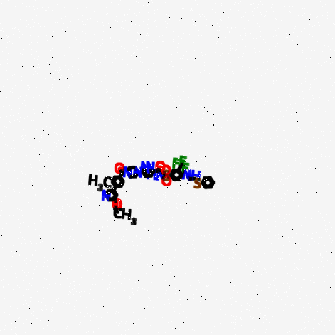 CCOc1cncc(-c2ccc(C(=O)N3CCN(c4ccc(C(=O)NS(=O)(=O)c5ccc(NCCSc6ccccc6)c(C(F)(F)F)c5)nn4)CC3)cc2C)c1